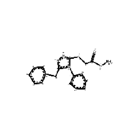 NNC(=O)CSc1nnc(Cc2ccccc2)n1-c1ccccc1